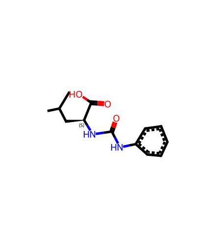 CC(C)C[C@H](NC(=O)Nc1ccccc1)C(=O)O